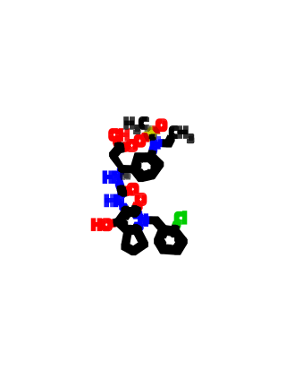 CCN(c1cccc([C@H](CC(=O)O)NC(=O)Nc2c(O)c3c(n(Cc4ccccc4Cl)c2=O)CCC3)c1)S(C)(=O)=O